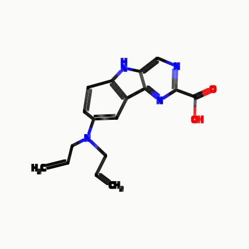 C=CCN(CC=C)c1ccc2[nH]c3cnc(C(=O)O)nc3c2c1